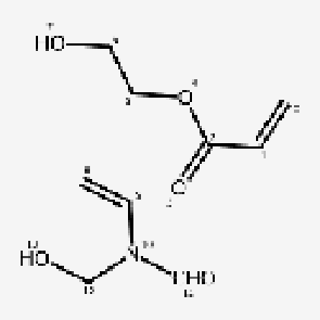 C=CC(=O)OCCO.C=CN(C=O)CO